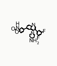 NC1CCN(c2c(-c3cc(F)cc(F)c3)cnc3ccc(-c4ccc5oc(=O)[nH]c5c4)cc23)CC1